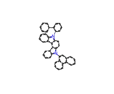 c1ccc(-c2ccccc2-n2c3ccccc3c3c4c5ccccc5n(-c5cc6ccccc6c6ccccc56)c4ccc32)cc1